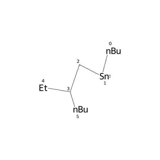 CCC[CH2][Sn][CH2]C(CC)CCCC